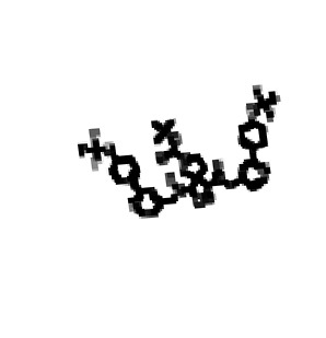 CC(C)(C)OC(=O)N1CCC(C(=O)N(F)Cc2ccnc(-c3ccc(OC(F)(F)F)cc3)c2)(C(=O)N(F)Cc2ccnc(-c3ccc(OC(F)(F)F)cc3)c2)C1